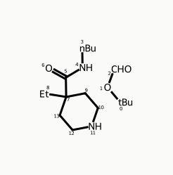 CC(C)(C)OC=O.CCCCNC(=O)C1(CC)CCNCC1